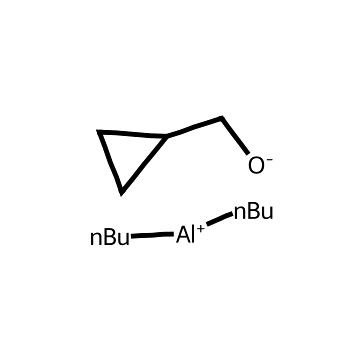 CCC[CH2][Al+][CH2]CCC.[O-]CC1CC1